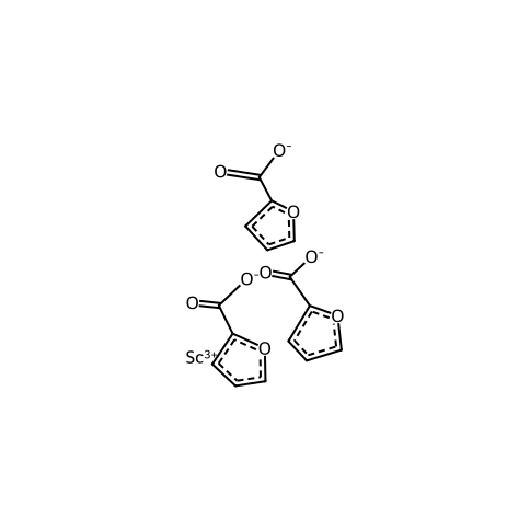 O=C([O-])c1ccco1.O=C([O-])c1ccco1.O=C([O-])c1ccco1.[Sc+3]